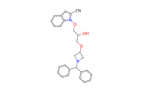 N#Cc1cc2ccccc2n1OCC(O)COC1CN(C(c2ccccc2)c2ccccc2)C1